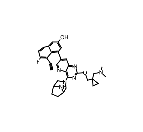 C#Cc1c(F)ccc2cc(O)cc(-c3cnc4c(N5CC6CCC(C5)N6)nc(OCC5(CN(C)C)CC5)nc4c3)c12